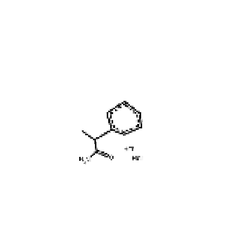 CC(C(N)=O)c1ccccc1.Cl.Cl